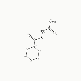 COC(=O)NCC(=O)N1CCCCC1